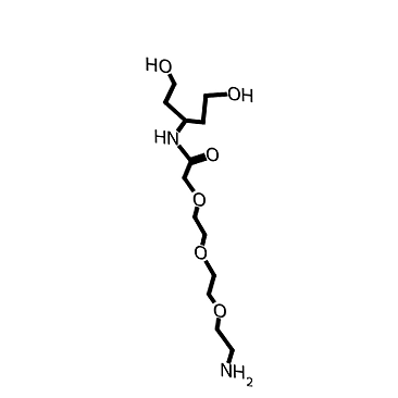 NCCOCCOCCOCC(=O)NC(CCO)CCO